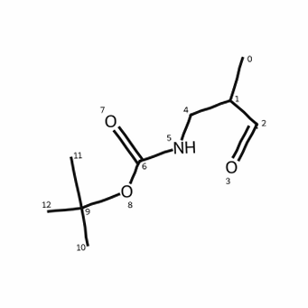 CC([C]=O)CNC(=O)OC(C)(C)C